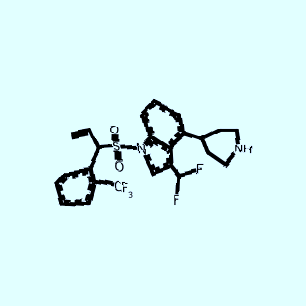 C=CC(c1ccccc1C(F)(F)F)S(=O)(=O)n1cc(C(F)F)c2c(C3CCNCC3)cccc21